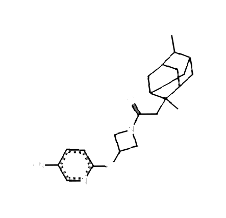 [C-]#[N+]c1ccc(OC2CN(C(=O)CC3(C)C4CC5CC3CC(C4)C5C)C2)nc1